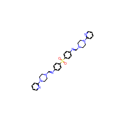 O=S(=O)(c1ccc(N=CN2CCN(c3ccccn3)CC2)cc1)c1ccc(N=CN2CCN(c3ccccn3)CC2)cc1